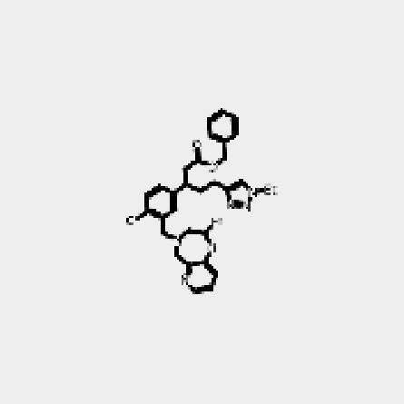 CCC1CN(Cc2cc(C(CCc3cn(CC)nn3)CC(=O)OCc3ccccc3)ccc2Cl)Cc2ncccc2O1